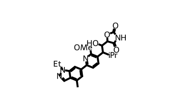 CCn1ncc2c(C)cc(-c3ccc(C(C(C)C)C(O)C4OC(=O)NC4=O)c(OC)n3)cc21